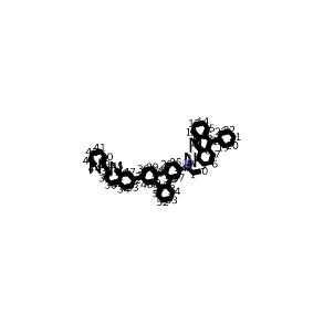 C=C/C(=N\C1CC=Cc2c1nc1ccccc1c2C1=CCCC=C1)c1ccc2c3ccc(-c4ccc5ccc(-c6ccccn6)nc5c4)cc3c3ccccc3c2c1